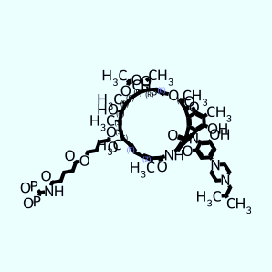 CO[C@H]1/C=C/O[C@@]2(C)Oc3c(C)c(O)c4c(=O)c(c5oc6cc(N7CCN(CC(C)C)CC7)cc(O)c6nc-5c4c3C2=O)NC(=O)/C(C)=C\C=C\[C@H](C)[C@H](OC(=O)CCCOC(=O)CCCC(=O)NC(P=O)P=O)[C@@H](C)[C@@H](O)[C@@H](C)[C@H](OC(C)=O)[C@@H]1C